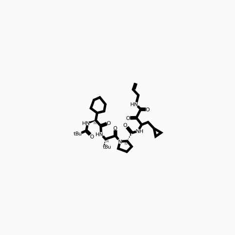 C=CCNC(=O)C(=O)C(CC1CC1)NC(=O)[C@@H]1CCCN1C(=O)[C@@H](NC(=O)[C@@H](NC(=O)C(C)(C)C)C1CCCCC1)C(C)(C)C